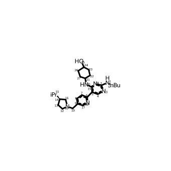 CCCCNc1ncc(-c2ccc(CN3CC[C@@H](C(C)C)C3)cn2)c(NC2CCC(O)CC2)n1